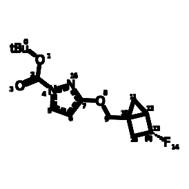 CC(C)(C)OC(=O)n1ccc(OCC23CC2[C@H](F)C3)n1